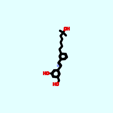 CC(C)(O)CCCCCc1cccc(/C=C/c2cc(O)cc(CO)c2)c1